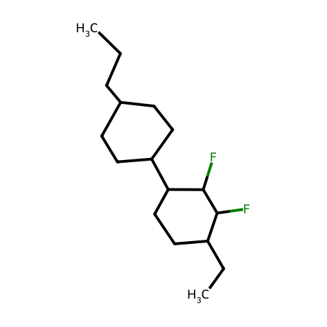 CCCC1CCC(C2CCC(CC)C(F)C2F)CC1